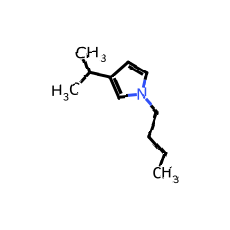 CCCCn1ccc(C(C)C)c1